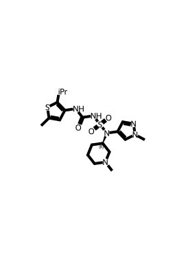 Cc1cc(NC(=O)NS(=O)(=O)N(c2cnn(C)c2)[C@@H]2CCCN(C)C2)c(C(C)C)s1